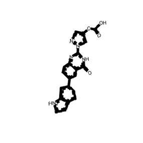 O=C(O)Oc1cnn(-c2nc3ccc(-c4ccc5cc[nH]c5c4)cc3c(=O)[nH]2)c1